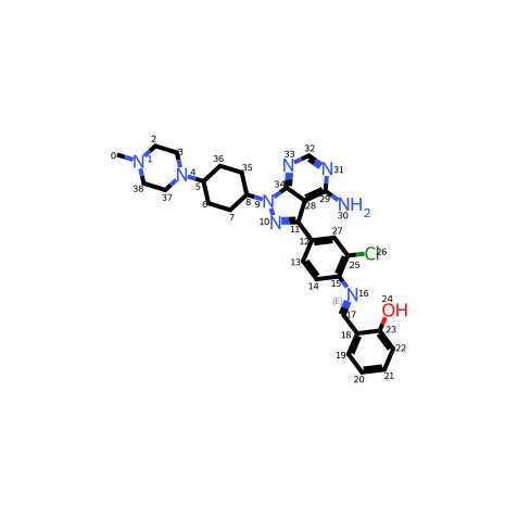 CN1CCN(C2CCC(n3nc(-c4ccc(/N=C/c5ccccc5O)c(Cl)c4)c4c(N)ncnc43)CC2)CC1